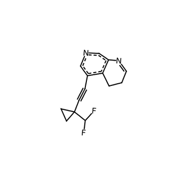 FC(F)C1(C#Cc2cncc3c2CCC=N3)CC1